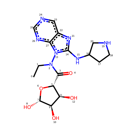 CCN(C(=O)[C@H]1O[C@@H](O)[C@H](O)[C@@H]1O)n1c(NC2CCNC2)nc2cncnc21